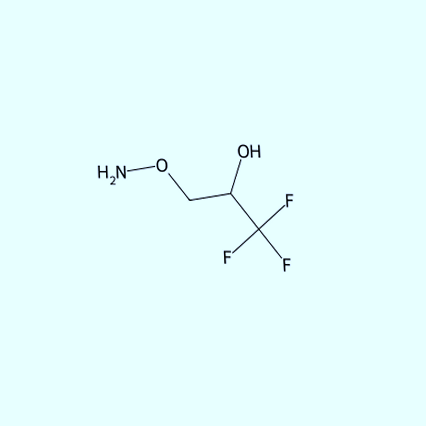 NOCC(O)C(F)(F)F